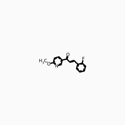 COc1ccc(C(=O)C=Cc2ccccc2F)cn1